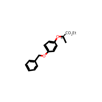 CCOC(=O)[C@@H](C)Oc1ccc(OCc2ccccc2)cc1